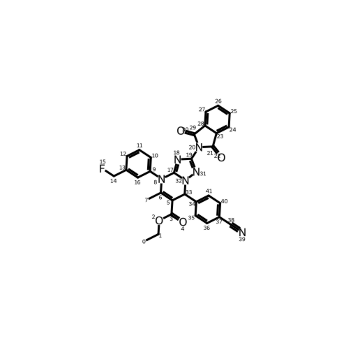 CCOC(=O)C1=C(C)N(c2cccc(CF)c2)c2nc(N3C(=O)c4ccccc4C3=O)nn2C1c1ccc(C#N)cc1